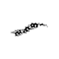 NCCOc1cnc2c(c1)CCC2Nc1nc2nc(O[C@@H]3CO[C@H]4[C@@H]3OC[C@H]4O)[nH]c2cc1Cl